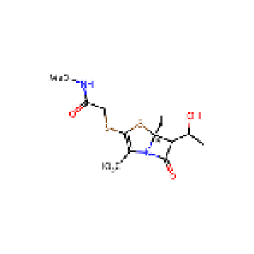 CONC(=O)CSC1=C(C(=O)O)N2C(=O)C(C(C)O)[C@H]2S1